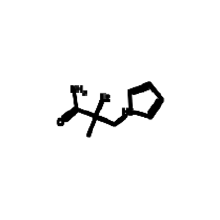 CCC(C)(C[SH]1C=CC=C1)C(N)=O